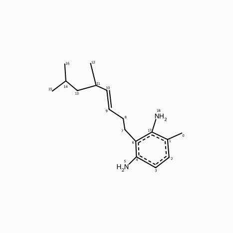 Cc1ccc(N)c(CC/C=C/C(C)CC(C)C)c1N